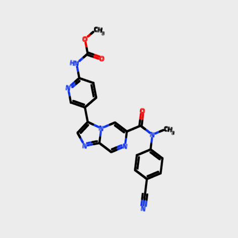 COC(=O)Nc1ccc(-c2cnc3cnc(C(=O)N(C)c4ccc(C#N)cc4)cn23)cn1